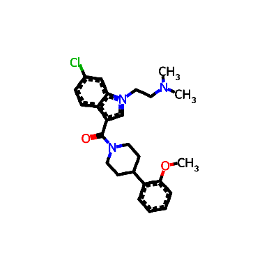 COc1ccccc1C1CCN(C(=O)c2cn(CCN(C)C)c3cc(Cl)ccc23)CC1